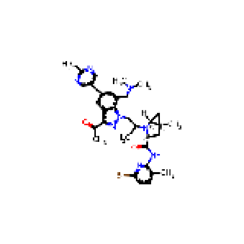 CC(=O)c1nn(CC(C)N2[C@H](C(=O)Nc3nc(Br)ccc3C)C[C@@]3(C)C[C@@H]23)c2c(CN(C)C)cc(-c3cnc(C)nc3)cc12